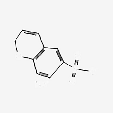 O=S(=O)([O-])c1ccc2c(c1)C=CCO2.[Na+]